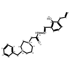 C=CCc1cccc(/C=N/NC(=O)CN2CCCN(Cc3ccccc3)CC2)c1O